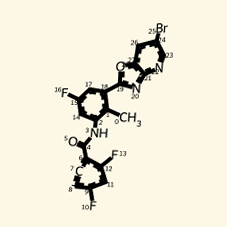 Cc1c(NC(=O)c2ccc(F)cc2F)cc(F)cc1-c1nc2ncc(Br)cc2o1